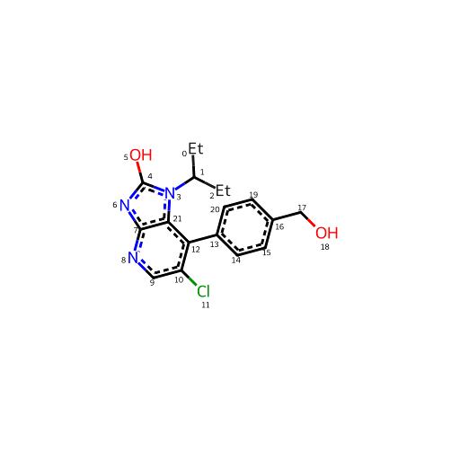 CCC(CC)n1c(O)nc2ncc(Cl)c(-c3ccc(CO)cc3)c21